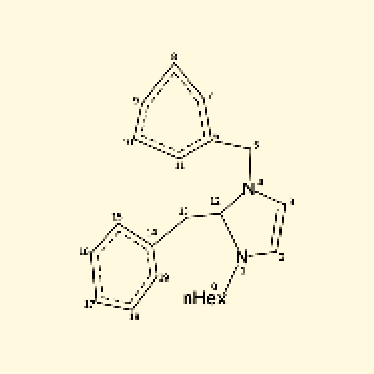 CCCCCCN1C=CN(Cc2ccccc2)C1Cc1ccccc1